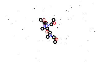 c1ccc(N(c2ccc3oc4ccccc4c3c2)c2cc3c4ccc5c(c6ccccc6n5-c5ccc6oc7ccccc7c6c5)c4oc3c3c4ccccc4n(-c4ccc5oc6ccccc6c5c4)c23)cc1